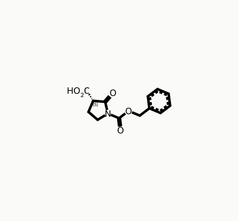 O=C(O)[C@H]1CCN(C(=O)OCc2ccccc2)C1=O